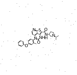 Cc1cc(Oc2ccccc2)ccc1N1C(=O)Nc2c(C(=O)NC3CCN(C(C)C)C3)sc3nccc1c23